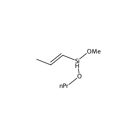 CC=C[SiH](OC)OCCC